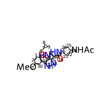 COc1ccc(OCC2CC2)c(-c2ncnc3c(C(=O)N[C@H]4CC[C@H](NC(C)=O)CC4)c[nH]c23)c1